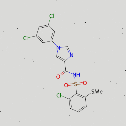 CSc1cccc(Cl)c1S(=O)(=O)NC(=O)c1cn(-c2cc(Cl)cc(Cl)c2)cn1